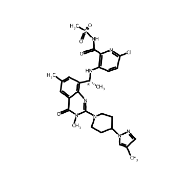 Cc1cc([C@@H](C)Nc2ccc(Cl)nc2C(=O)NS(C)(=O)=O)c2nc(N3CCC(n4cc(C(F)(F)F)cn4)CC3)n(C)c(=O)c2c1